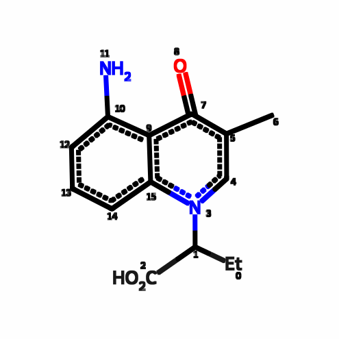 CCC(C(=O)O)n1cc(C)c(=O)c2c(N)cccc21